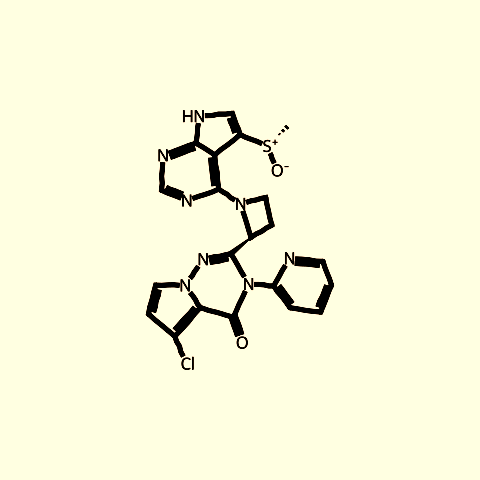 C[S@+]([O-])c1c[nH]c2ncnc(N3CC[C@H]3c3nn4ccc(Cl)c4c(=O)n3-c3ccccn3)c12